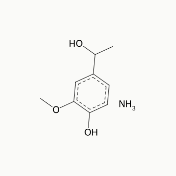 COc1cc(C(C)O)ccc1O.N